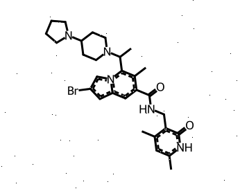 Cc1cc(C)c(CNC(=O)c2cc3cc(Br)cn3c(C(C)N3CCC(N4CCCC4)CC3)c2C)c(=O)[nH]1